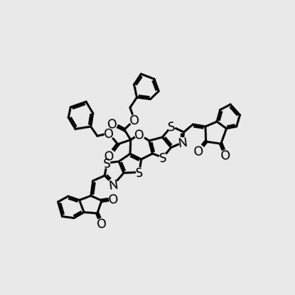 O=C1C(=O)c2ccccc2/C1=C/c1nc2sc3c(c2s1)OC(C(=O)OCc1ccccc1)(C(=O)OCc1ccccc1)c1c-3sc2nc(/C=C3\C(=O)C(=O)c4ccccc43)sc12